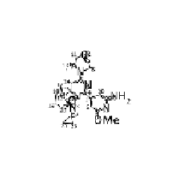 COc1cc(-c2nc(N3CCOC[C@H]3C)cc([C@@]3(C)CCCS3(=O)=NC3CC3)n2)cc(N)n1